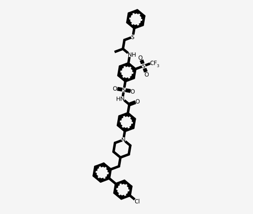 CC(CSc1ccccc1)Nc1ccc(S(=O)(=O)NC(=O)c2ccc(N3CCC(Cc4ccccc4-c4ccc(Cl)cc4)CC3)cc2)cc1S(=O)(=O)C(F)(F)F